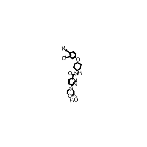 N#Cc1ccc(OC2CCC(NC(=O)c3ccc(N4CCO[C@@H](CO)C4)nn3)CC2)cc1Cl